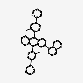 Cc1cc(-c2ccccn2)ccc1-c1c2ccccc2c(-c2ccc(-c3ccccn3)cc2C)c2cc(-c3cccc4ccccc34)ccc12